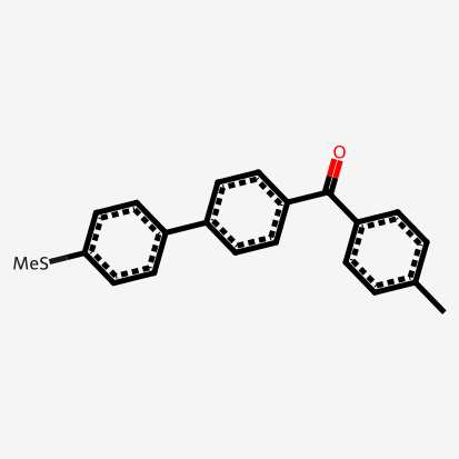 CSc1ccc(-c2ccc(C(=O)c3ccc(C)cc3)cc2)cc1